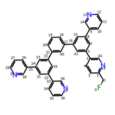 FCc1ccc(-c2cc(-c3cccnc3)cc(-c3cccc(-c4cc(-c5cccnc5)cc(-c5cccnc5)c4)c3)c2)cn1